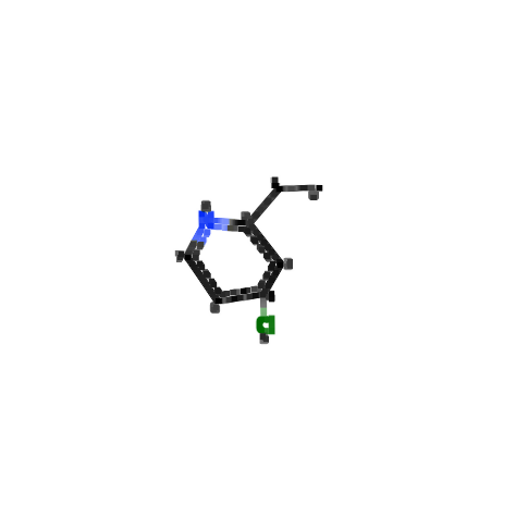 [CH2]Cc1cc(Cl)ccn1